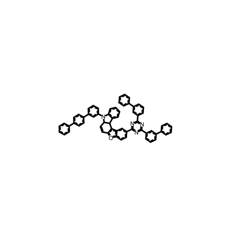 C1=CC2C(c3ccccc3N2c2cccc(-c3ccc(-c4ccccc4)cc3)c2)c2c1oc1ccc(-c3nc(-c4cccc(-c5ccccc5)c4)nc(-c4cccc(-c5ccccc5)c4)n3)cc21